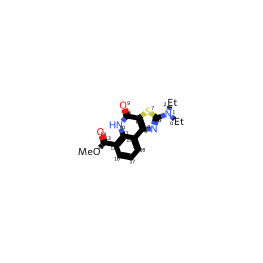 CCN(CC)c1nc2c(s1)c(=O)[nH]c1c(C(=O)OC)cccc12